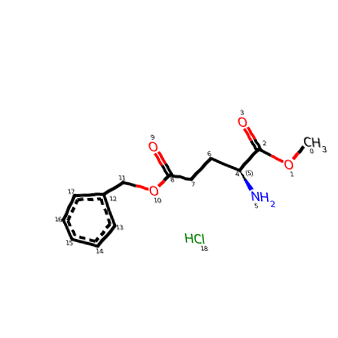 COC(=O)[C@@H](N)CCC(=O)OCc1ccccc1.Cl